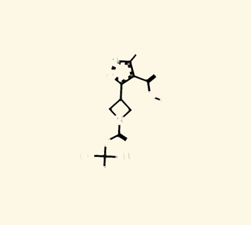 COC(=O)c1c(C)noc1C1CN(C(=O)OC(C)(C)C)C1